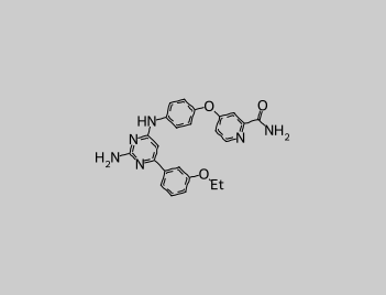 CCOc1cccc(-c2cc(Nc3ccc(Oc4ccnc(C(N)=O)c4)cc3)nc(N)n2)c1